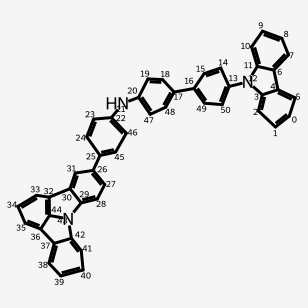 c1ccc2c(c1)c1ccccc1n2-c1ccc(-c2ccc(Nc3ccc(-c4ccc5c(c4)c4cccc6c7ccccc7n5c64)cc3)cc2)cc1